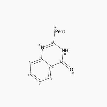 CCCC(C)c1nc2ccccc2c(=O)[nH]1